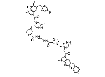 C[C@@H]1CN(CC(=O)N2CC(C)(C)c3[nH]c(=O)c(Cc4ccc(F)cc4)cc32)[C@@H](CN2CCO[C@H](C(=O)NCCCNC(=O)[C@@H]3CN(C[C@H]4CN[C@H](C)CN4CC(=O)N4CC(C)(C)c5[nH]c(=O)c(Cc6ccc(F)cc6)cc54)CCO3)C2)CN1